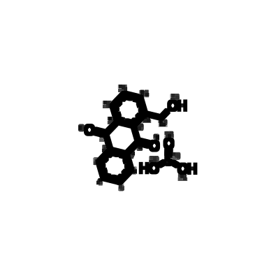 O=C1c2ccccc2C(=O)c2c(CO)cccc21.O=S(O)O